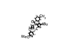 COc1cc(O[C@H]2C[C@H](N(c3cc(C(C)(C)C)sc3C(=O)O)C(=O)[C@H]3CC[C@H](C)CC3)C2)ccn1